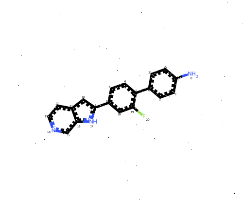 Nc1ccc(-c2ccc(-c3cc4ccncc4[nH]3)cc2F)cc1